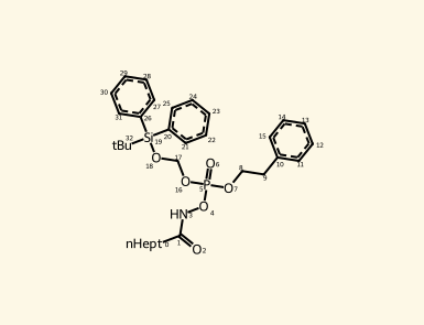 CCCCCCCC(=O)NOP(=O)(OCCc1ccccc1)OCO[Si](c1ccccc1)(c1ccccc1)C(C)(C)C